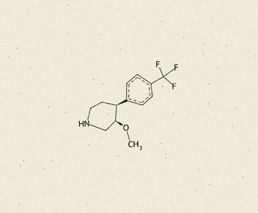 CO[C@H]1CNCC[C@H]1c1ccc(C(F)(F)F)cc1